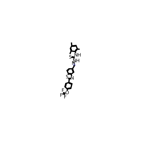 Cc1cc(C)c(NC(=S)N/N=C/c2ccc3sc(-c4ccc(OC(F)(F)F)cc4)nc3c2)c(C)c1